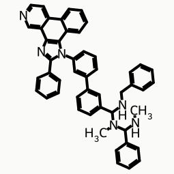 CNC(c1ccccc1)N(C)C(NCc1ccccc1)c1cccc(-c2cccc(-n3c(-c4ccccc4)nc4c5cnccc5c5ccccc5c43)c2)c1